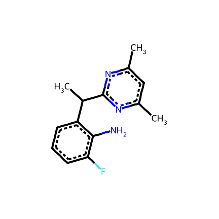 Cc1cc(C)nc(C(C)c2cccc(F)c2N)n1